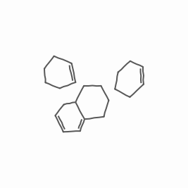 C1=CCC2CCCCC2=C1.C1=CCCCC1.C1=CCCCC1